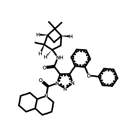 C[C@@H]1[C@H]2C[C@@H](C[C@H]1NC(=O)c1c(-c3ccccc3Oc3ccccc3)nnn1C(=O)N1CCCC3CCCCC31)C2(C)C